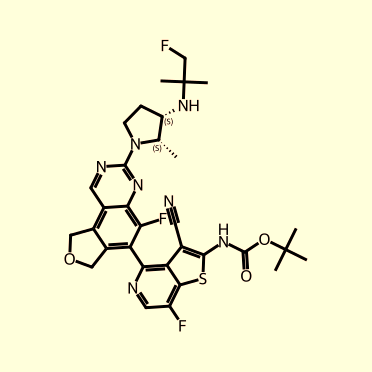 C[C@H]1[C@@H](NC(C)(C)CF)CCN1c1ncc2c3c(c(-c4ncc(F)c5sc(NC(=O)OC(C)(C)C)c(C#N)c45)c(F)c2n1)COC3